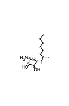 CCCCCCC(C)C[C@H]1O[C@@H](N)C(O)C1O